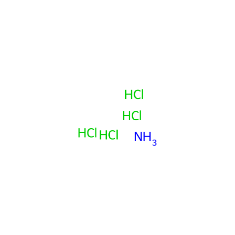 Cl.Cl.Cl.Cl.N